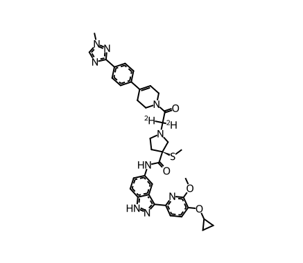 [2H]C([2H])(C(=O)N1CC=C(c2ccc(-c3ncn(C)n3)cc2)CC1)N1CC[C@@](SC)(C(=O)Nc2ccc3[nH]nc(-c4ccc(OC5CC5)c(OC)n4)c3c2)C1